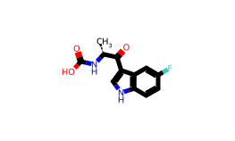 C[C@@H](NC(=O)O)C(=O)c1c[nH]c2ccc(F)cc12